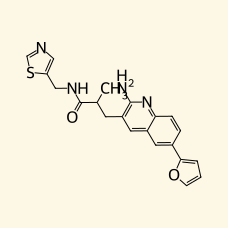 CC(Cc1cc2cc(-c3ccco3)ccc2nc1N)C(=O)NCc1cncs1